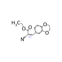 CCOC(=O)/C(C#N)=C\c1ccc2c(c1)OCCO2